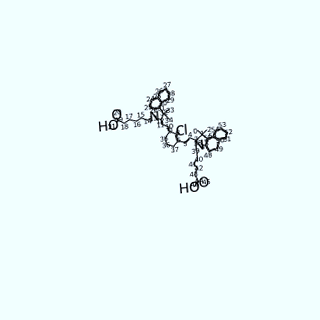 CC1(C)C(/C=C/C2=C(Cl)C(=C/C=C3/N(CCCCCC(=O)O)c4ccc5ccccc5c4C3(C)C)/CCC2)=[N+](CCCCCC(=O)O)c2ccc3ccccc3c21